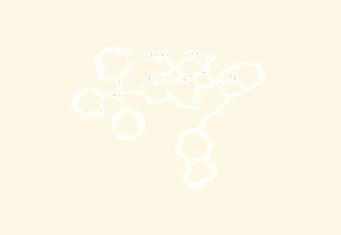 CC(C)(C)OC(=O)ON1C2CCC1C(OCc1ccc3ccccc3c1)C(c1ccc(COC(c3ccccc3)(c3ccccc3)c3ccccc3)cc1)C2